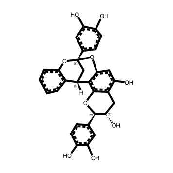 Oc1ccc([C@H]2Oc3c(c(O)cc4c3[C@H]3C[C@](c5ccc(O)c(O)c5)(Oc5ccccc53)O4)C[C@@H]2O)cc1O